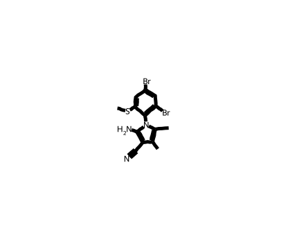 CSc1cc(Br)cc(Br)c1-n1c(C)c(C)c(C#N)c1N